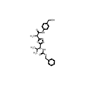 CC(C(=O)Nc1ccc(CO)cc1)c1nnc([C@H](NC(=O)OCc2ccccc2)C(C)C)o1